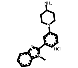 Cl.Cn1c(-c2cccc(N3CCC(N)CC3)c2)nc2ccccc21